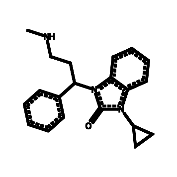 CNCCC(c1ccccc1)n1c(=O)n(C2CC2)c2ccccc21